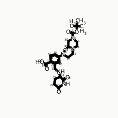 CC(C)(C)OC(=O)N1CCN2CCN(c3ccc(C(=O)O)c(CNC4CCC(=O)NC4=O)c3)CC2C1